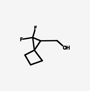 OCC1C(F)(F)C12CCC2